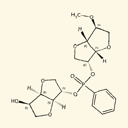 CO[C@H]1CO[C@H]2[C@@H]1OC[C@H]2OP(=O)(O[C@H]1CO[C@H]2[C@@H]1OC[C@H]2O)c1ccccc1